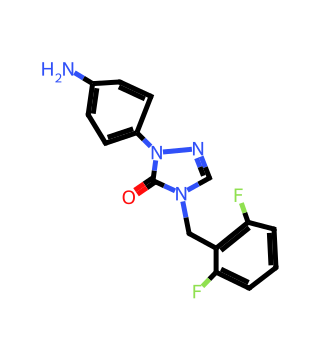 Nc1ccc(-n2ncn(Cc3c(F)cccc3F)c2=O)cc1